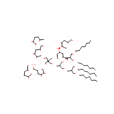 CCCCCCCOCC(COCCCCCCC)COCC(COCC(COCCCCCCC)COCCCCCCC)COCC(CO[C@@H]1OC(CO)[C@@H](O[C@H]2OC(CO)[C@@H](O)[C@H](O)C2O)C(O)C1O)(CO[C@@H]1OC(CO)[C@H](O[C@H]2OC(CO)[C@@H](O)C(O)C2O)C(O)C1O)CO[C@@H]1OC(CO)[C@@H](O[C@H]2OC(CO)[C@@H](O)C(O)C2O)C(O)[C@@H]1O